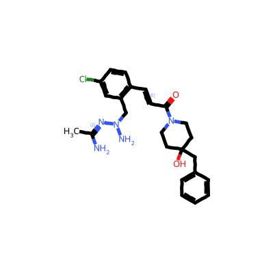 C/C(N)=N/N(N)Cc1cc(Cl)ccc1/C=C/C(=O)N1CCC(O)(Cc2ccccc2)CC1